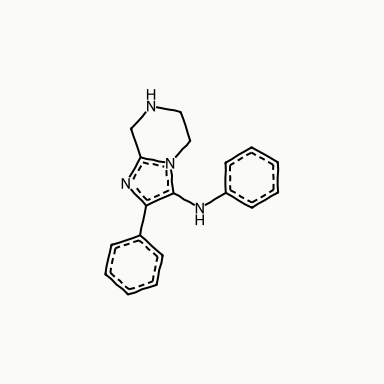 c1ccc(Nc2c(-c3ccccc3)nc3n2CCNC3)cc1